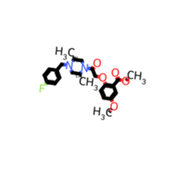 COC(=O)c1cc(OC)ccc1OCC(=O)N1C[C@@H](C)N(Cc2ccc(F)cc2)C[C@@H]1C